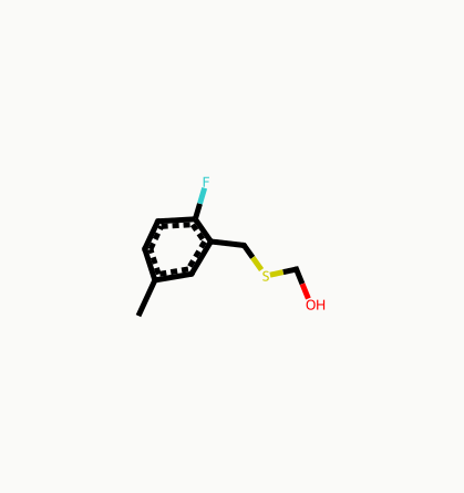 Cc1ccc(F)c(CSCO)c1